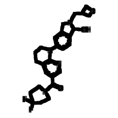 O=C(c1cnc2c(c1)CCCN2c1ccc2c(c1)CN(CC1COC1)C2O)N1CCC(F)(F)CC1